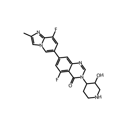 Cc1cn2cc(-c3cc(F)c4c(=O)n(C5CCNCC5O)cnc4c3)cc(F)c2n1